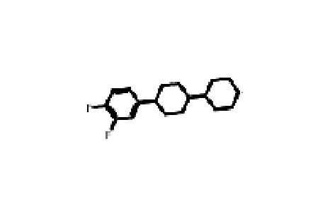 Fc1ccc(C2CCC(C3CC[CH]CC3)CC2)cc1F